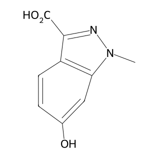 Cn1nc(C(=O)O)c2ccc(O)cc21